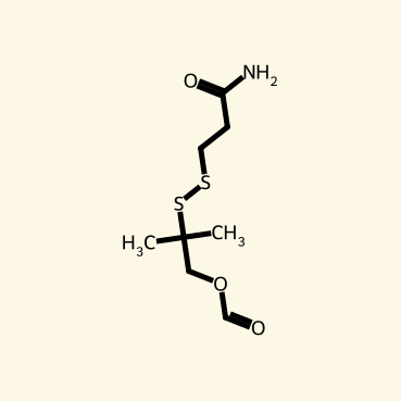 CC(C)(COC=O)SSCCC(N)=O